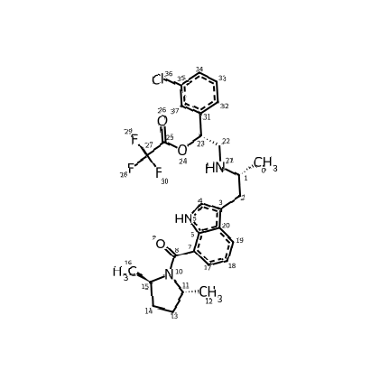 C[C@H](Cc1c[nH]c2c(C(=O)N3[C@H](C)CC[C@H]3C)cccc12)NC[C@H](OC(=O)C(F)(F)F)c1cccc(Cl)c1